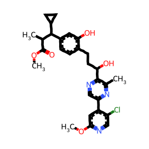 COC(=O)C(C)C(c1ccc(CCC(O)c2ncc(-c3cc(OC)ncc3Cl)nc2C)c(O)c1)C1CC1